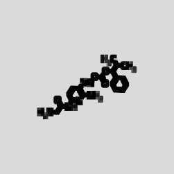 CC(C)C(OC(=O)ON=Nc1ccc(NC(=O)CN)nc1N)c1ccccc1